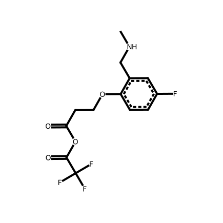 CNCc1cc(F)ccc1OCCC(=O)OC(=O)C(F)(F)F